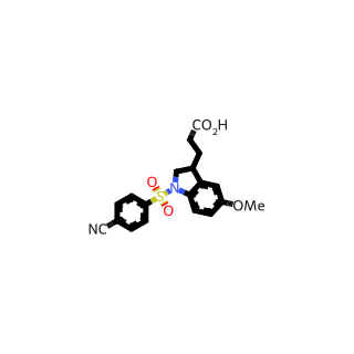 COc1ccc2c(c1)C(CCC(=O)O)CN2S(=O)(=O)c1ccc(C#N)cc1